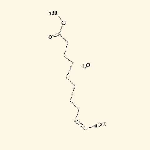 CCCCCCCC/C=C\CCCCCCCC(=O)OCCCC.O